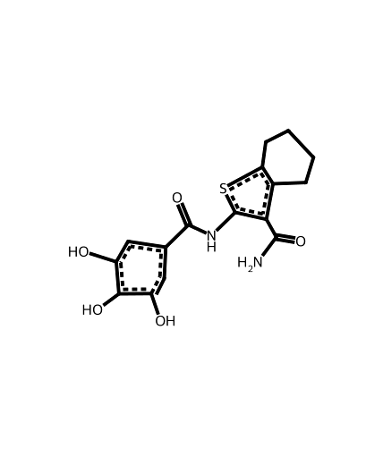 NC(=O)c1c(NC(=O)c2cc(O)c(O)c(O)c2)sc2c1CCCC2